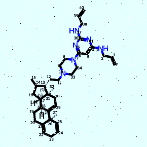 C=CCNc1cc(N2CCN(CC[C@H]3C(C)C[C@H]4[C@@H]5CCC6=CCC=C[C@]6(C)C5=CC[C@]34C)CC2)nc(NCC=C)n1